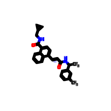 O=C(/C=C/c1ccc(C(=O)NCC2CC2)c2ccccc12)NC(c1cccc(C(F)(F)F)c1)C(F)(F)F